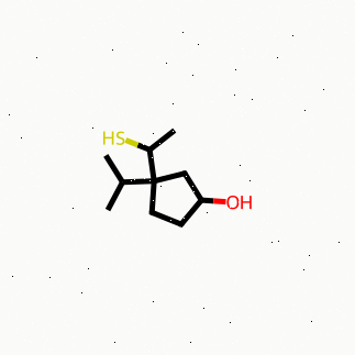 CC(C)C1(C(C)S)CCC(O)C1